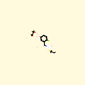 CCC(C)(C)[S+]([O-])N[C@@H](C)c1cc(B2OC(C)(C)C(C)(C)O2)ccc1F